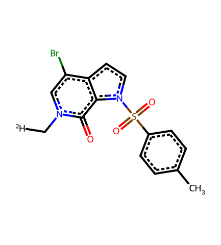 [2H]Cn1cc(Br)c2ccn(S(=O)(=O)c3ccc(C)cc3)c2c1=O